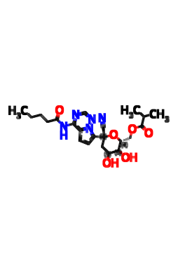 CCCCC(=O)Nc1ncnn2c([C@@]3(C#N)C[C@H](O)[C@H](O)[C@@H](COC(=O)C(C)C)O3)ccc12